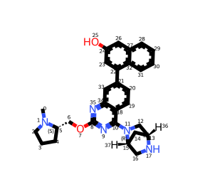 CN1CCC[C@H]1COc1nc(N2C[C@H]3C[C@@H]2CN3)c2ccc(-c3cc(O)cc4ccccc34)cc2n1